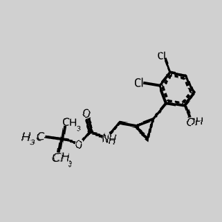 CC(C)(C)OC(=O)NCC1CC1c1c(O)ccc(Cl)c1Cl